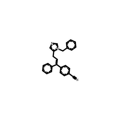 N#Cc1ccc(C(=CCc2cncn2Cc2ccccc2)c2ccccc2)cc1